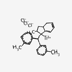 Cc1cccc(C(c2cccc(C)c2)[C]2([Ti+3])C3=CC=CCC3CC2C)c1.[Cl-].[Cl-].[Cl-]